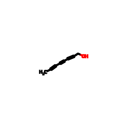 CC#CC#CC#CCO